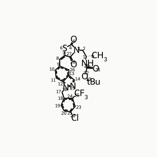 C[C@@H](CN1C(=O)SC(=Cc2ccc3c(cnn3Cc3ccc(Cl)cc3C(F)(F)F)c2)C1=O)NC(=O)OC(C)(C)C